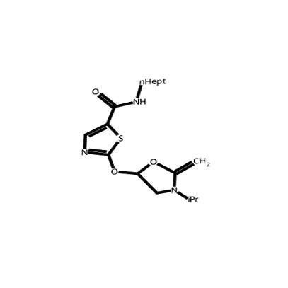 C=C1OC(Oc2ncc(C(=O)NCCCCCCC)s2)CN1C(C)C